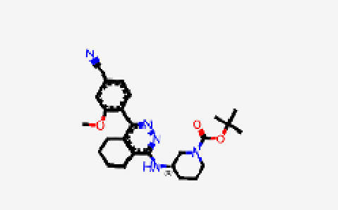 COc1cc(C#N)ccc1-c1nnc(N[C@@H]2CCCN(C(=O)OC(C)(C)C)C2)c2c1CCCC2